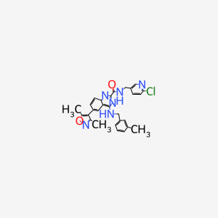 Cc1cccc(CNc2nc(C(=O)NCc3ccc(Cl)nc3)nc3ccc(-c4c(C)noc4C)cc23)c1